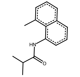 Cc1cccc2cccc(NC(=O)C(C)C)c12